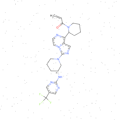 C=CC(=O)N1CCCCC1c1nccn2c(N3CCC[C@@H](Nc4ncc(C(F)(F)F)cn4)C3)ncc12